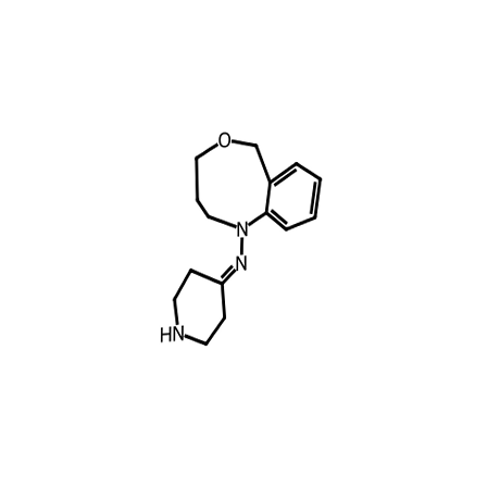 c1ccc2c(c1)COCCCN2N=C1CCNCC1